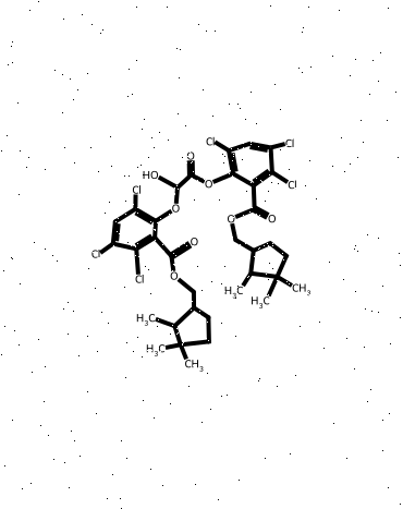 CC1C(COC(=O)c2c(Cl)c(Cl)cc(Cl)c2OC(=O)C(O)Oc2c(Cl)cc(Cl)c(Cl)c2C(=O)OCC2CCC(C)(C)C2C)CCC1(C)C